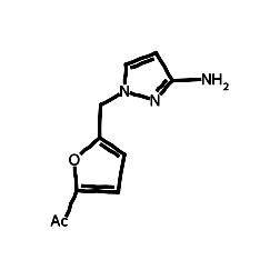 CC(=O)c1ccc(Cn2ccc(N)n2)o1